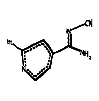 CCc1cc(C(N)=NC#N)ccn1